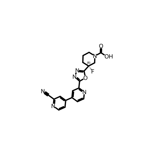 N#Cc1cc(-c2ccnc(-c3nnc([C@@]4(F)CCCN(C(=O)O)C4)o3)c2)ccn1